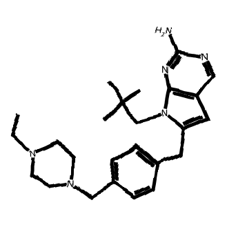 CCN1CCN(Cc2ccc(Cc3cc4cnc(N)nc4n3CC(C)(C)C)cc2)CC1